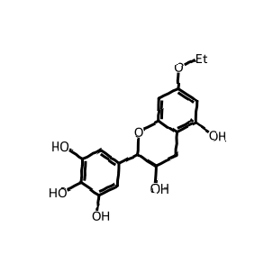 CCOc1cc(O)c2c(c1)OC(c1cc(O)c(O)c(O)c1)C(O)C2